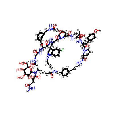 CNC(=O)CCC(=O)N(C1CCCC(=O)N2CCCCn3cc(c4cc(F)ccc43)C[C@@H]3NC(=O)[C@H](Cc4cccc(c4)CNC(=O)COC4CCN(C3=O)[C@@H]4C(=O)N[C@@H]([C@@H](C)O)C(=O)N[C@@H](Cc3ccc(OC)cc3)C(=O)N3CCC[C@@]3(C)C(=O)NCCc3ccc(cc3)C2)NC(=O)CNC(=O)C1)C1OC(CO)C(O)C(O)C1O